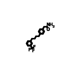 NC(=O)Cc1ccc(CCCCc2cccc(C(F)(F)F)c2)cc1